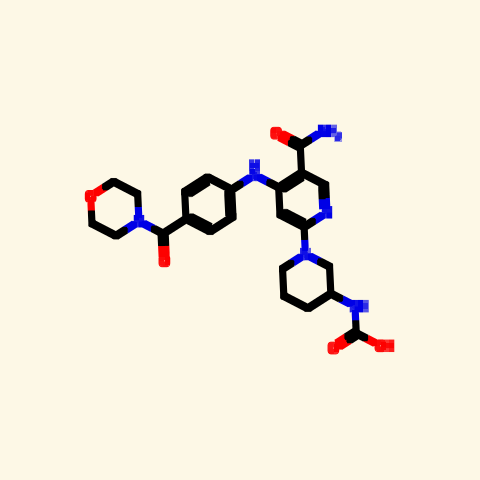 NC(=O)c1cnc(N2CCCC(NC(=O)O)C2)cc1Nc1ccc(C(=O)N2CCOCC2)cc1